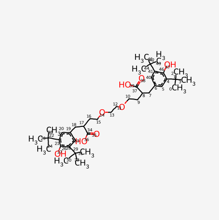 CC(C)(C)c1cc(CC(CCOCCOCCC(Cc2cc(C(C)(C)C)c(O)c(C(C)(C)C)c2)C(=O)O)C(=O)O)cc(C(C)(C)C)c1O